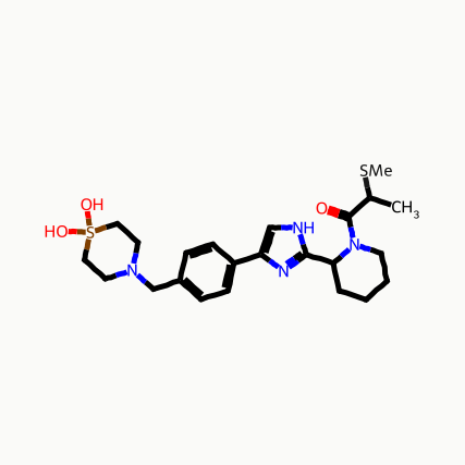 CSC(C)C(=O)N1CCCCC1c1nc(-c2ccc(CN3CCS(O)(O)CC3)cc2)c[nH]1